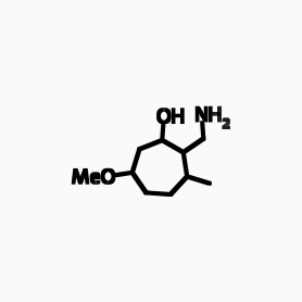 COC1CCC(C)C(CN)C(O)C1